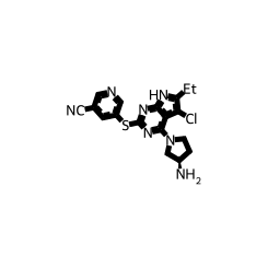 CCc1[nH]c2nc(Sc3cncc(C#N)c3)nc(N3CC[C@@H](N)C3)c2c1Cl